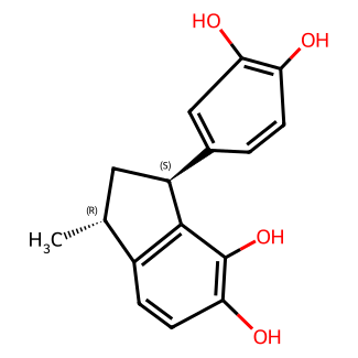 C[C@@H]1C[C@@H](c2ccc(O)c(O)c2)c2c1ccc(O)c2O